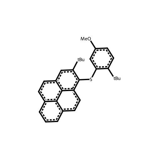 COc1ccc(C(C)(C)C)c(Sc2c(C(C)(C)C)cc3ccc4cccc5ccc2c3c45)c1